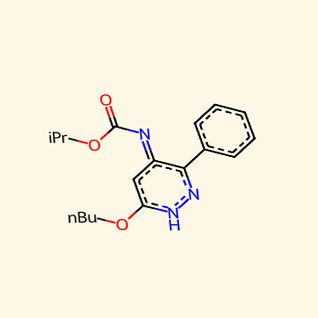 CCCCOc1cc(=NC(=O)OC(C)C)c(-c2ccccc2)n[nH]1